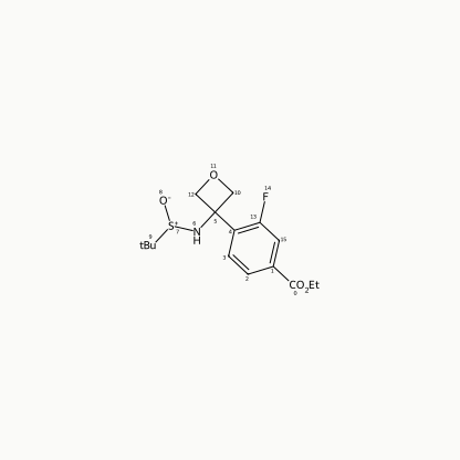 CCOC(=O)c1ccc(C2(N[S+]([O-])C(C)(C)C)COC2)c(F)c1